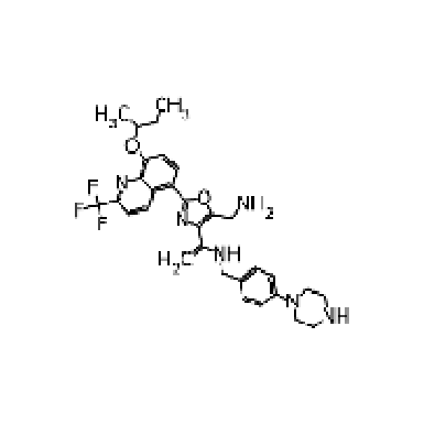 C=C(NCc1ccc(N2CCNCC2)cc1)c1nc(-c2ccc(OC(C)CC)c3nc(C(F)(F)F)ccc23)oc1CN